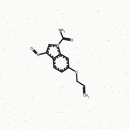 C=CCOc1ccc2c(N=O)cn(C(N)=O)c2c1